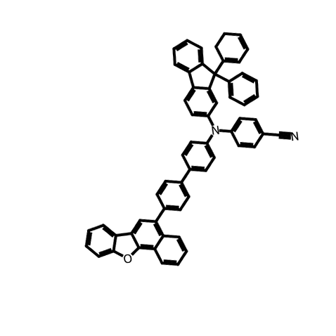 N#Cc1ccc(N(c2ccc(-c3ccc(-c4cc5c6ccccc6oc5c5ccccc45)cc3)cc2)c2ccc3c(c2)C(C2=CC=CCC2)(c2ccccc2)c2ccccc2-3)cc1